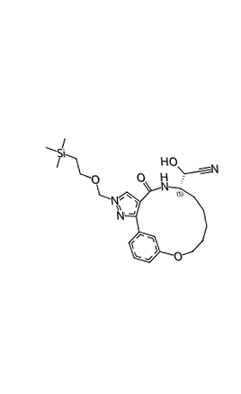 C[Si](C)(C)CCOCn1cc2c(n1)-c1cccc(c1)OCCCCC[C@@H](C(O)C#N)NC2=O